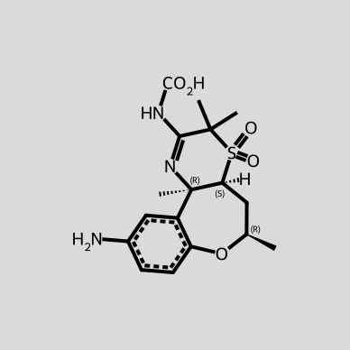 C[C@@H]1C[C@H]2[C@](C)(N=C(NC(=O)O)C(C)(C)S2(=O)=O)c2cc(N)ccc2O1